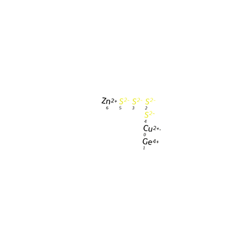 [Cu+2].[Ge+4].[S-2].[S-2].[S-2].[S-2].[Zn+2]